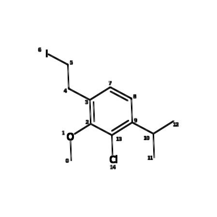 COc1c(CCI)ccc(C(C)C)c1Cl